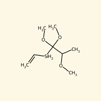 C=C[SiH2]C(OC)(OC)C(C)OC